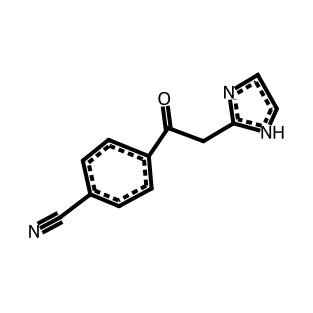 N#Cc1ccc(C(=O)Cc2ncc[nH]2)cc1